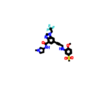 COc1ccc(S(C)(=O)=O)cc1NCC#Cc1cc(C(=O)NC2CCN(C)C2)c2ncn(CC(F)(F)F)c2c1